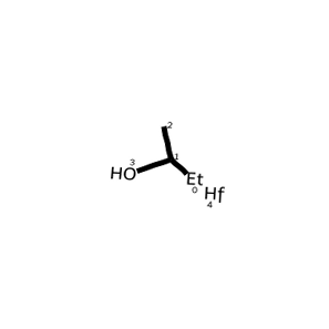 CCC(C)O.[Hf]